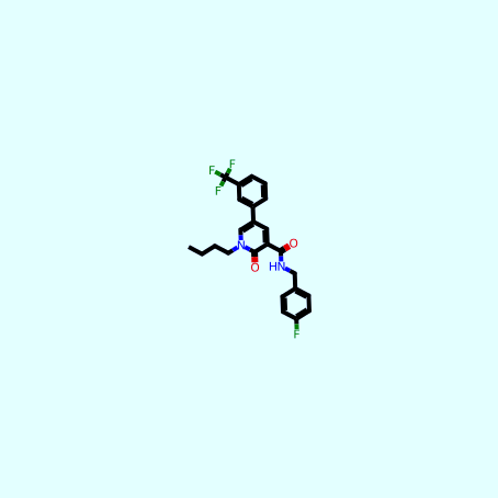 CCCCn1cc(-c2cccc(C(F)(F)F)c2)cc(C(=O)NCc2ccc(F)cc2)c1=O